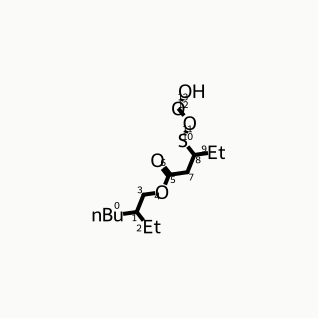 CCCCC(CC)COC(=O)CC(CC)SOOO